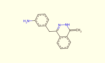 C=C1NN=C(Cc2cccc(N)c2)c2ccccc21